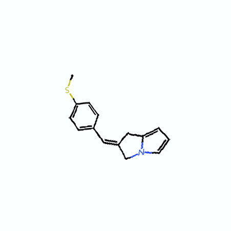 CSc1ccc(/C=C2\Cc3cccn3C2)cc1